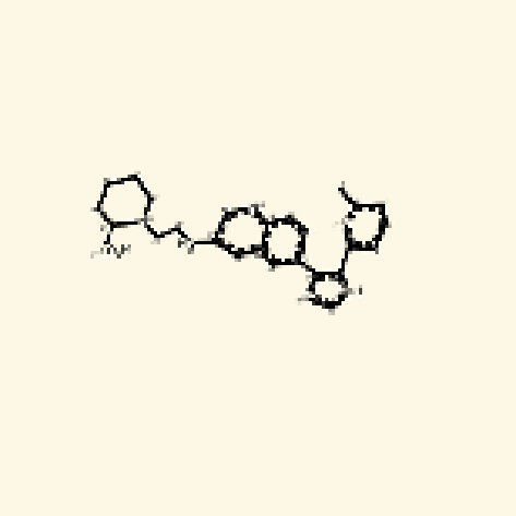 Cc1cccc(-c2[nH]cnc2-c2ccc3ncc(NCCN4CCCC[C@@H]4C(=O)O)cc3c2)n1